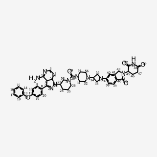 NC1=NC=NC2C1C(c1ccc(Oc3ccccc3)cc1)=NN2C1CCCN(C(=O)N2CCN(C3CN(c4ccc5c(c4)CN(C4CCC(=O)NC4=O)C5=O)C3)CC2)C1